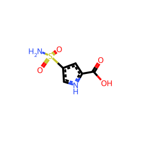 NS(=O)(=O)c1c[nH]c(C(=O)O)c1